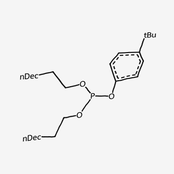 CCCCCCCCCCCCOP(OCCCCCCCCCCCC)Oc1ccc(C(C)(C)C)cc1